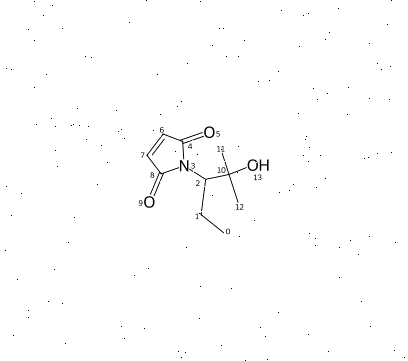 CCC(N1C(=O)C=CC1=O)C(C)(C)O